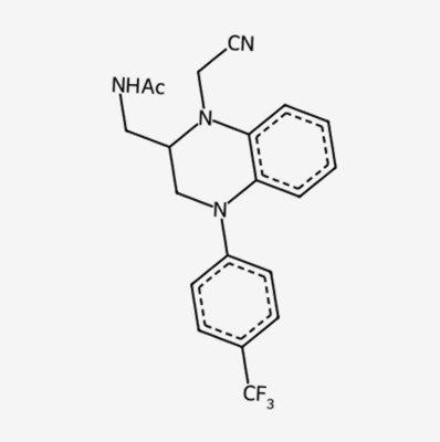 CC(=O)NCC1CN(c2ccc(C(F)(F)F)cc2)c2ccccc2N1CC#N